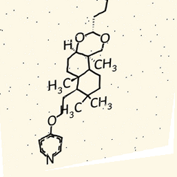 COC(=O)CC[C@@H]1OC[C@@]2(C)C3CCC(C)(C)[C@@H](CCOc4ccncc4)[C@]3(C)CC[C@H]2O1